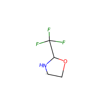 FC(F)(F)C1N[CH]CO1